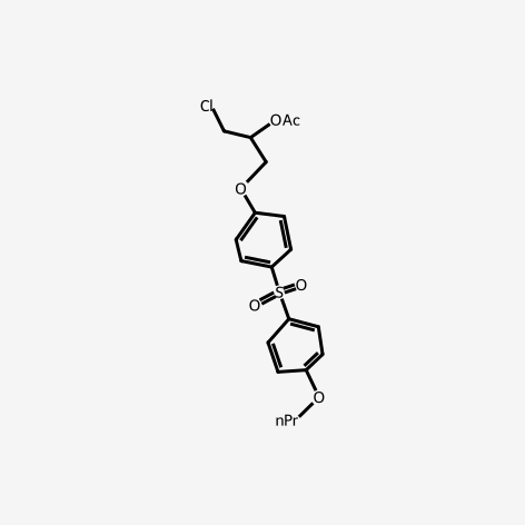 [CH2][CH]COc1ccc(S(=O)(=O)c2ccc(OCC(CCl)OC(C)=O)cc2)cc1